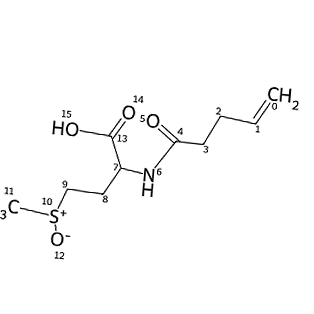 C=CCCC(=O)NC(CC[S+](C)[O-])C(=O)O